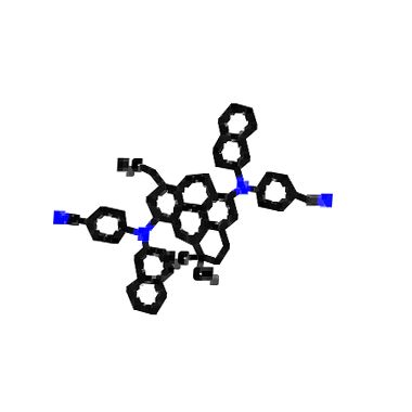 CCc1cc(N(c2ccc(C#N)cc2)c2ccc3ccccc3c2)c2cc3c4c(cc(N(c5ccc(C#N)cc5)c5ccc6ccccc6c5)c5ccc1c2c54)CCC3(C)C